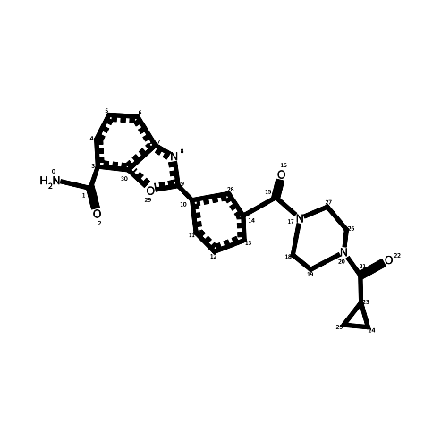 NC(=O)c1cccc2nc(-c3cccc(C(=O)N4CCN(C(=O)C5CC5)CC4)c3)oc12